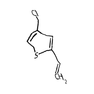 C=Cc1cc(Cl)cs1